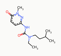 CCN(CCC(C)C)C(=O)Nc1ccc(=O)n(C)n1